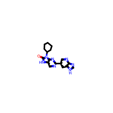 O=c1[nH]c2cnc(-c3cnc4nc[nH]c4c3)nc2n1C1CCCCC1